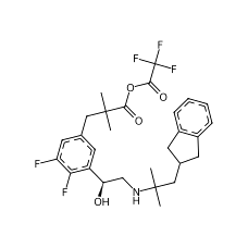 CC(C)(CC1Cc2ccccc2C1)NC[C@@H](O)c1cc(CC(C)(C)C(=O)OC(=O)C(F)(F)F)cc(F)c1F